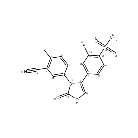 Cc1ccc(-n2c(-c3ccc(S(N)(=O)=O)c(F)c3)coc2=O)cc1C#N